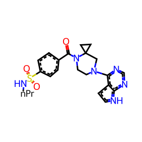 CCCNS(=O)(=O)c1ccc(C(=O)N2CCN(c3ncnc4[nH]ccc34)CC23CC3)cc1